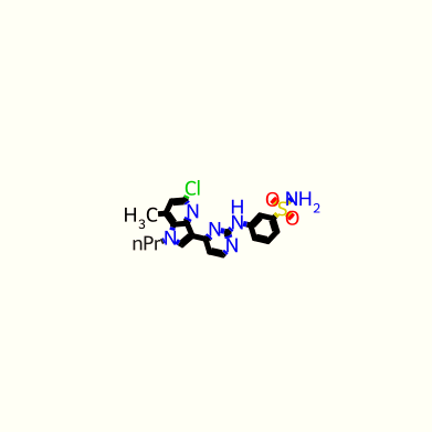 CCCn1cc(-c2ccnc(Nc3cccc(S(N)(=O)=O)c3)n2)c2nc(Cl)cc(C)c21